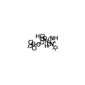 Cc1cc(Cl)c(OCCOc2ccc(C(=O)NC3CCNCC3C(=O)N(Cc3cccc(C)c3C)C3CC3)c(Cl)c2)c(Cl)c1.Cl